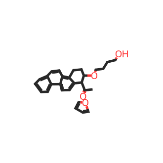 CC(=O)C1c2ccc3c(ccc4ccccc43)c2CCC1OCCCCO.c1ccoc1